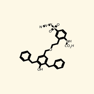 [N-]=[N+]=NS(=O)(=O)c1ccc(NC(=O)O)c(CCOCc2cc(Cc3ccccc3)c(O)c(Cc3ccccc3)c2)c1